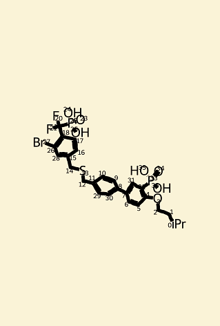 CC(C)CCOc1ccc(-c2ccc(CSCc3ccc(C(F)(F)P(=O)(O)O)c(Br)c3)cc2)cc1P(=O)(O)O